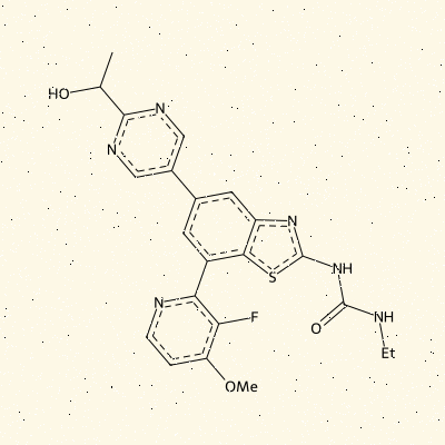 CCNC(=O)Nc1nc2cc(-c3cnc(C(C)O)nc3)cc(-c3nccc(OC)c3F)c2s1